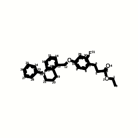 CCOC(=O)CCc1ccc(OCc2cccc3c2CCCN3c2ccccc2)cc1F